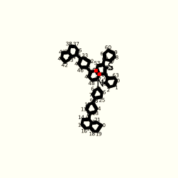 c1ccc(N(c2ccc(-c3ccc(-c4cccc5ccccc45)cc3)cc2)c2ccc(-c3ccc(-c4cccc5ccccc45)cc3)cc2)c(-c2cccc3c2sc2ccccc23)c1